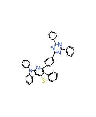 c1ccc(-c2nc(-c3ccccc3)nc(-c3ccc(-c4nc5c(c6ccccc6n5-c5ccccc5)c5sc6ccccc6c45)cc3)n2)cc1